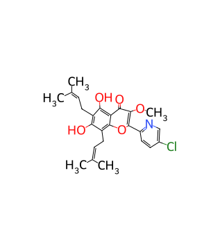 COc1c(-c2ccc(Cl)cn2)oc2c(CC=C(C)C)c(O)c(CC=C(C)C)c(O)c2c1=O